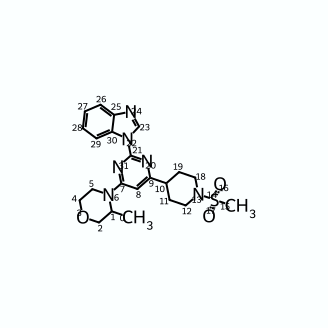 CC1COCCN1c1cc(C2CCN(S(C)(=O)=O)CC2)nc(-n2cnc3ccccc32)n1